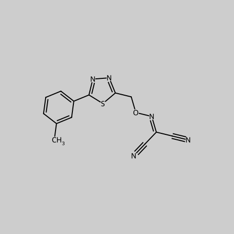 Cc1cccc(-c2nnc(CON=C(C#N)C#N)s2)c1